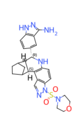 Nc1n[nH]c2ccc([C@@H]3Nc4ccc5c(cnn5S(=O)(=O)N5CCOCC5)c4[C@H]4C5CCC(C5)[C@@H]34)cc12